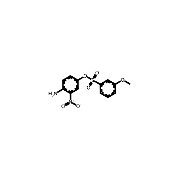 COc1cccc(S(=O)(=O)Oc2ccc(N)c([N+](=O)[O-])c2)c1